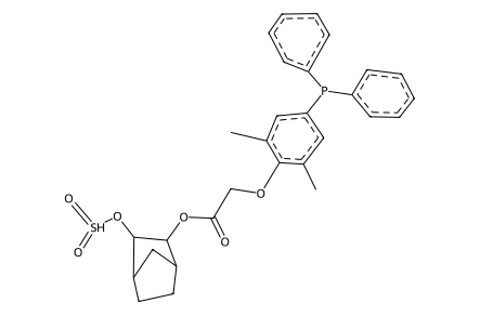 Cc1cc(P(c2ccccc2)c2ccccc2)cc(C)c1OCC(=O)OC1C2CCC(C2)C1O[SH](=O)=O